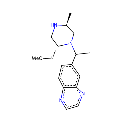 COC[C@@H]1CN[C@@H](C)CN1C(C)c1ccc2nccnc2c1